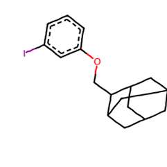 Ic1cccc(OCC2C3CC4CC(C3)CC2C4)c1